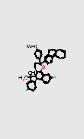 COc1ccc(C2(c3ccc4c5c(ccc4c3)C=CCC5)C=Cc3c4c(c5ccc(F)cc5c3O2)-c2ccc(F)cc2C4(C)C)cc1